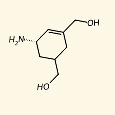 N[C@@H]1C=C(CO)CC(CO)C1